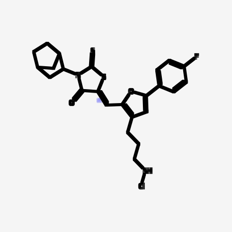 O=C1/C(=C/c2oc(-c3ccc(F)cc3)cc2CCCNCl)SC(=S)N1C1CC2CCC1C2